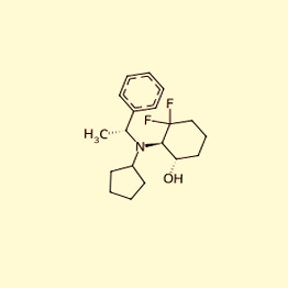 C[C@H](c1ccccc1)N(C1CCCC1)[C@@H]1[C@@H](O)CCCC1(F)F